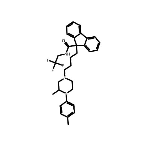 Cc1ccc(N2CCN(CCCCC3(C(=O)NCC(F)(F)F)c4ccccc4-c4ccccc43)CC2C)cc1